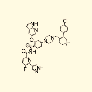 Cn1cc(-c2nc(C(=O)N[S+]([O-])c3ccc(N4CCN(CC5=C(c6ccc(Cl)cc6)CC(C)(C)CC5)CC4)cc3Oc3cnc4[nH]ccc4c3)ccc2F)cn1